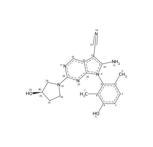 Cc1ccc(O)c(C)c1-n1c(N)c(C#N)c2cnc(N3CC[C@@H](O)C3)nc21